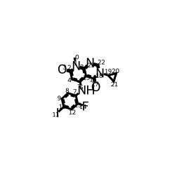 Cn1c(=O)cc(Nc2ccc(I)cc2F)c2c(=O)n(C3CC3)cnc21